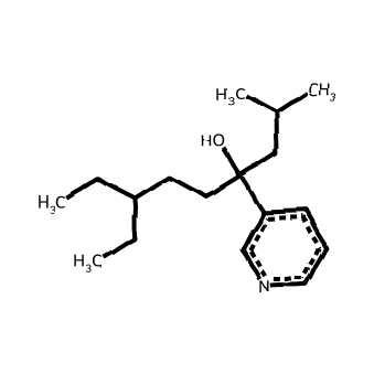 CCC(CC)CCC(O)(CC(C)C)c1cccnc1